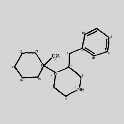 N#CC1(N2CCNCC2Cc2ccccc2)CCCCC1